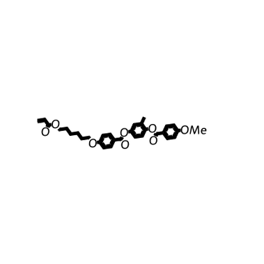 C=CC(=O)OCCCCCCOc1ccc(C(=O)Oc2ccc(OC(=O)c3ccc(OC)cc3)c(C)c2)cc1